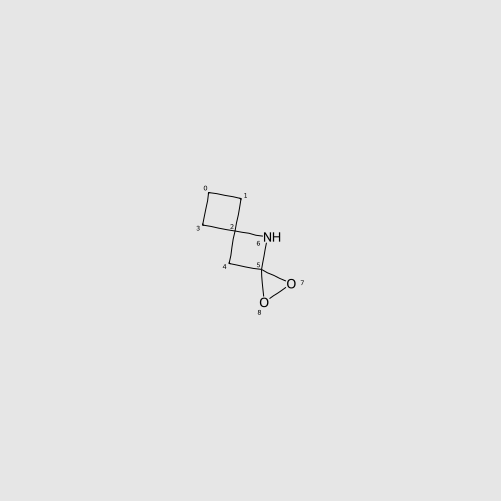 C1CC2(C1)CC1(N2)OO1